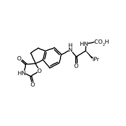 CC(C)[C@H](NC(=O)O)C(=O)Nc1ccc2c(c1)CCC21OC(=O)NC1=O